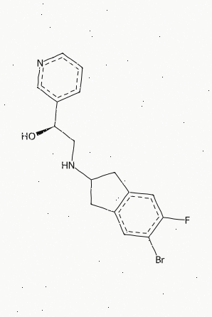 O[C@H](CNC1Cc2cc(F)c(Br)cc2C1)c1cccnc1